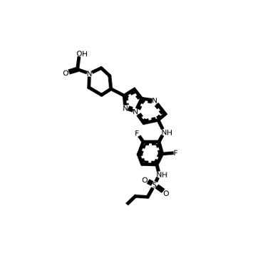 CCCS(=O)(=O)Nc1ccc(F)c(Nc2cnc3cc(C4CCN(C(=O)O)CC4)nn3c2)c1F